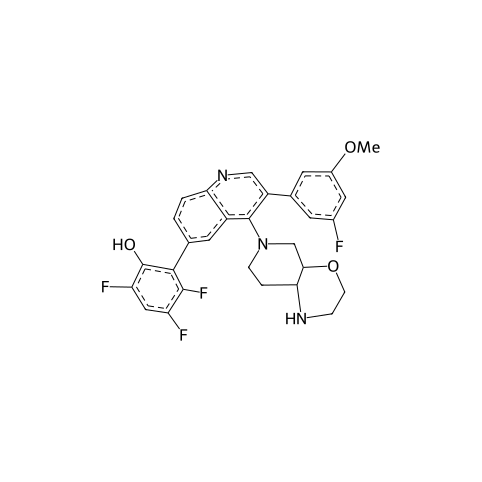 COc1cc(F)cc(-c2cnc3ccc(-c4c(O)c(F)cc(F)c4F)cc3c2N2CCC3NCCOC3C2)c1